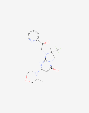 CC1COCCN1c1cc(=O)n2c(n1)N(CC(=O)c1ccccn1)C(C)(C(F)(F)F)C2